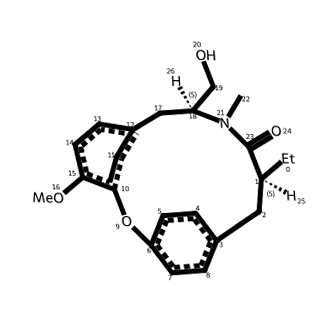 CC[C@H]1Cc2ccc(cc2)Oc2cc(ccc2OC)C[C@@H](CO)N(C)C1=O